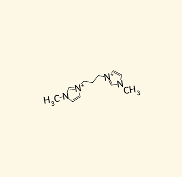 Cn1cc[n+](CCC[n+]2ccn(C)c2)c1